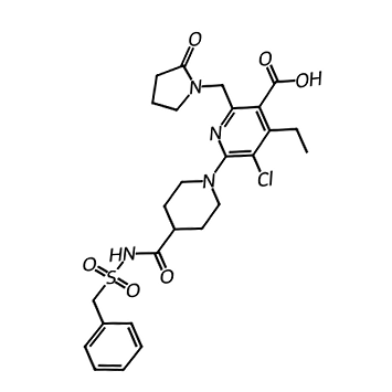 CCc1c(Cl)c(N2CCC(C(=O)NS(=O)(=O)Cc3ccccc3)CC2)nc(CN2CCCC2=O)c1C(=O)O